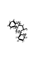 CC(Cc1nc2ccccc2n1C)Nc1ccccn1